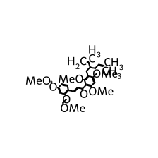 C=C(C)C(CC=C(C)C)Cc1c(OC)cc(OC)c(C(=O)/C=C/c2ccc(OCOC)cc2OCOC)c1OC